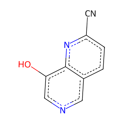 N#Cc1ccc2cncc(O)c2n1